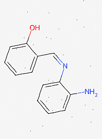 Nc1ccccc1/N=C\c1ccccc1O